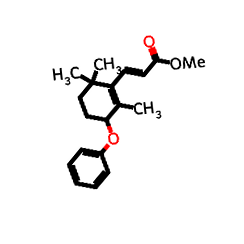 COC(=O)C=CC1=C(C)C(Oc2ccccc2)CCC1(C)C